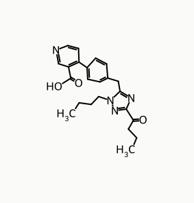 CCCCn1nc(C(=O)CCC)nc1Cc1ccc(-c2ccncc2C(=O)O)cc1